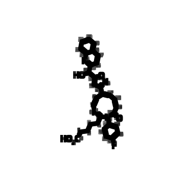 O=C(O)CCCCc1nccc(-c2cc(C(O)c3ccc4ccccc4n3)on2)cccc(=O)n1-c1ccc(F)cc1